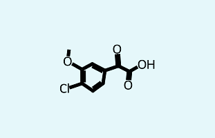 COc1cc(C(=O)C(=O)O)ccc1Cl